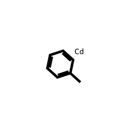 Cc1ccccc1.[Cd]